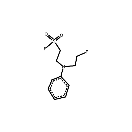 O=S(=O)(F)CCN(CCF)c1ccccc1